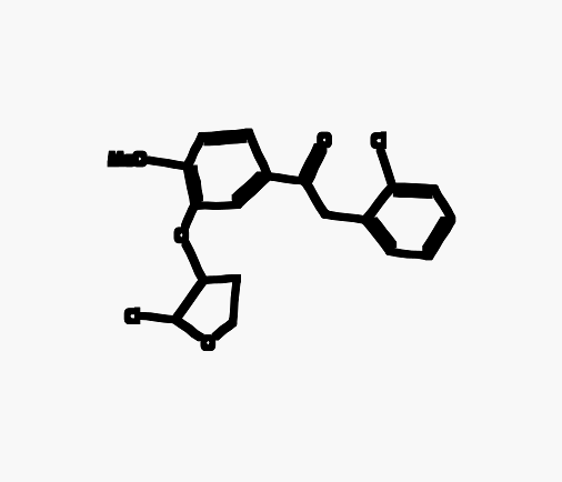 COc1ccc(C(=O)Cc2ccccc2Cl)cc1OC1CCOC1Cl